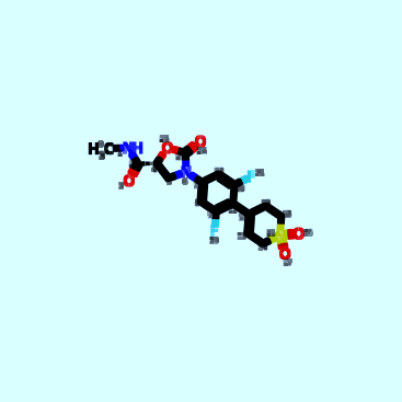 CNC(=O)[C@H]1CN(c2cc(F)c(C3=CCS(=O)(=O)CC3)c(F)c2)C(=O)O1